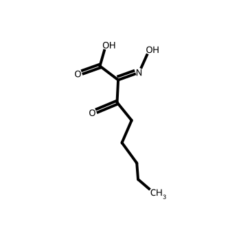 CCCCCC(=O)C(=NO)C(=O)O